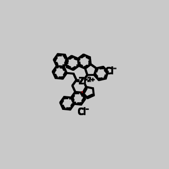 C1=CC[C]([Zr+2](=[C](Cc2cccc3ccccc23)Cc2cccc3ccccc23)[CH]2c3ccccc3-c3ccc4ccccc4c32)=C1.[Cl-].[Cl-]